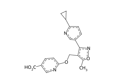 Cc1onc(-c2ccc(C3CC3)nc2)c1COc1ccc(C(=O)O)cn1